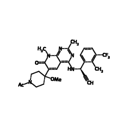 C#C[C@@H](Nc1nc(C)nc2c1cc(C1(OC)CCN(C(C)=O)CC1)c(=O)n2C)c1cccc(C(F)(F)F)c1C